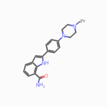 CC(C)N1CCN(c2ccc(-c3cc4cccc(C(N)=O)c4[nH]3)cc2)CC1